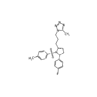 Cc1ccc(S(=O)(=O)N2C(CCCn3nnnc3C)CCC2c2ccc(F)cc2)cc1